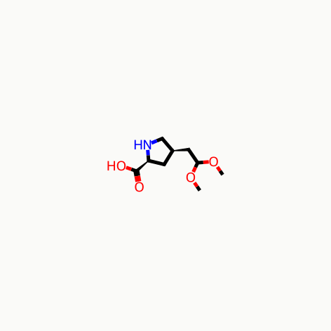 COC(C[C@@H]1CN[C@H](C(=O)O)C1)OC